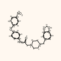 O=C(CN1CCN(Cc2ccc3c(c2)OCO3)CC1)Nc1ccc(Oc2ccc([N+](=O)[O-])cn2)cc1